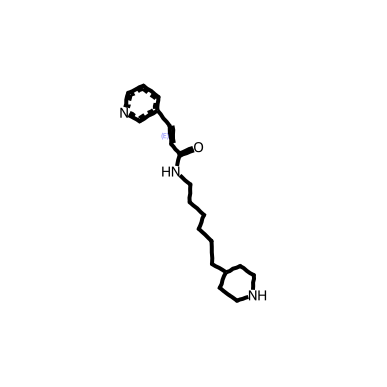 O=C(/C=C/c1cccnc1)NCCCCCCC1CCNCC1